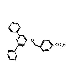 O=C(O)c1ccc(COc2cc(-c3ccccc3)nc(-c3ccccc3)n2)cc1